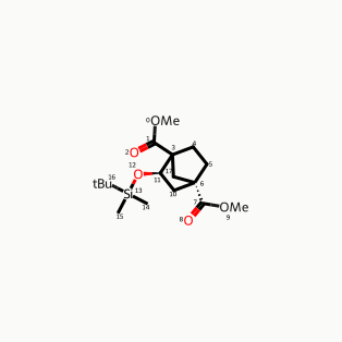 COC(=O)C12CC[C@@](C(=O)OC)(C[C@H]1O[Si](C)(C)C(C)(C)C)C2